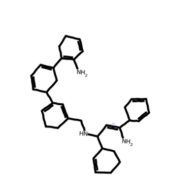 NC1=C(C2=CC=CC(C3=CCCC(CNC(/C=C(\N)C4C=CC=CC4)C4C=CCCC4)=C3)C2)CCC=C1